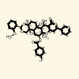 COc1ccccc1[C@@H]1OC[C@@]2(C)C3C[C@H](OC(=O)c4ccc(F)cc4)[C@@]4(C)Oc5cc(-c6cccnc6)oc(=O)c5[C@H](O)C4[C@@]3(C)CC[C@@H]2O1